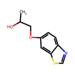 CC(O)COc1ccc2ncsc2c1